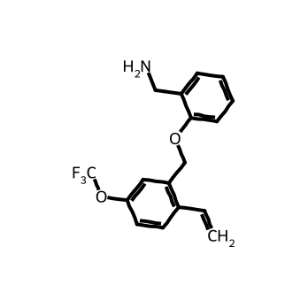 C=Cc1ccc(OC(F)(F)F)cc1COc1ccccc1CN